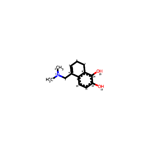 CN(C)CC1=CCCc2c1ccc(O)c2O